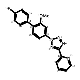 COc1cc(-n2nnc(-c3ccccn3)n2)ccc1-c1ccc(F)cc1